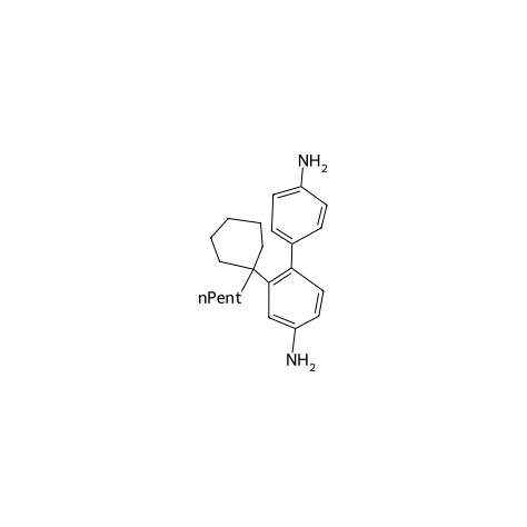 CCCCCC1(c2cc(N)ccc2-c2ccc(N)cc2)CCCCC1